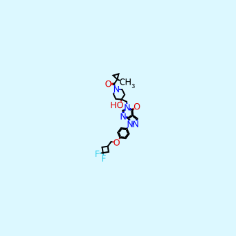 CC1(C(=O)N2CCC(O)(Cn3cnc4c(cnn4-c4ccc(OCC5CC(F)(F)C5)cc4)c3=O)CC2)CC1